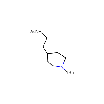 CC(=O)NCCC1CCN(C(C)(C)C)CC1